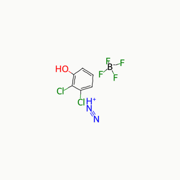 F[B-](F)(F)F.N#[NH+].Oc1cccc(Cl)c1Cl